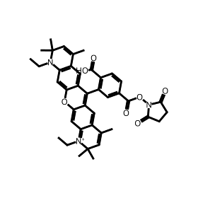 CCN1c2cc3c(cc2C(C)=CC1(C)C)C(c1cc(C(=O)ON2C(=O)CCC2=O)ccc1C(=O)O)=c1cc2c(cc1O3)=[N+](CC)C(C)(C)C=C2C